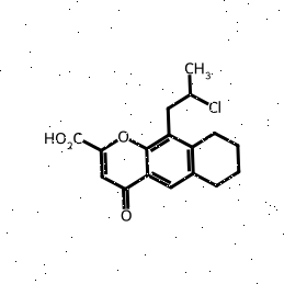 CC(Cl)Cc1c2c(cc3c(=O)cc(C(=O)O)oc13)CCCC2